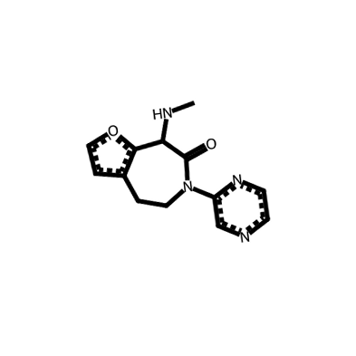 CNC1C(=O)N(c2cnccn2)CCc2ccoc21